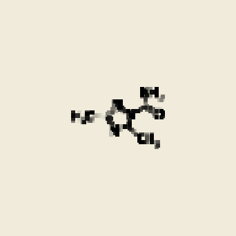 Cc1nc(C)n(C(N)=O)n1